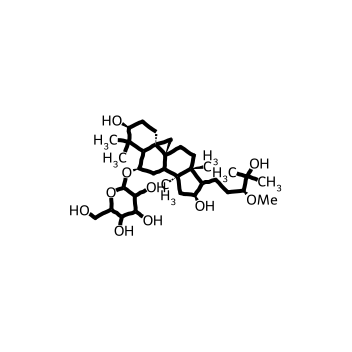 CO[C@@H](CCC1[C@@H](O)C[C@@]2(C)C3C[C@H](OC4OC(CO)C(O)C(O)C4O)C4C(C)(C)[C@@H](O)CC[C@@]45C[C@@]35CC[C@]12C)C(C)(C)O